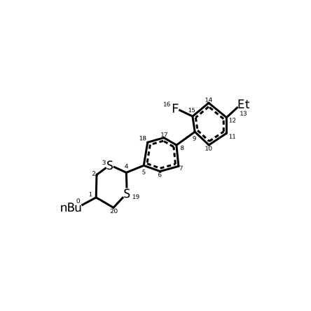 CCCCC1CSC(c2ccc(-c3ccc(CC)cc3F)cc2)SC1